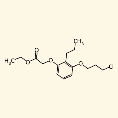 CCCc1c(OCCCCl)cccc1OCC(=O)OCC